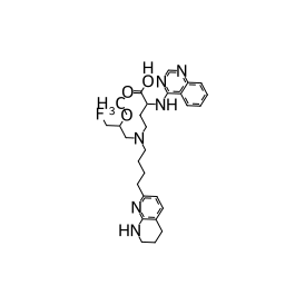 COC(CF)CN(CCCCc1ccc2c(n1)NCCC2)CCC(Nc1ncnc2ccccc12)C(=O)O